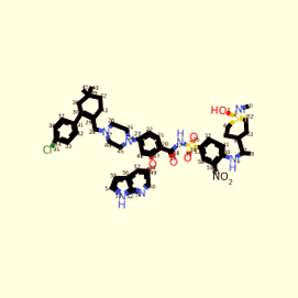 CN=[SH]1(O)CCC(C(C)Nc2ccc(S(=O)(=O)NC(=O)c3ccc(N4CCN(CC5=C(c6ccc(Cl)cc6)CC(C)(C)CC5)CC4)cc3Oc3cnc4[nH]ccc4c3)cc2[N+](=O)[O-])CC1